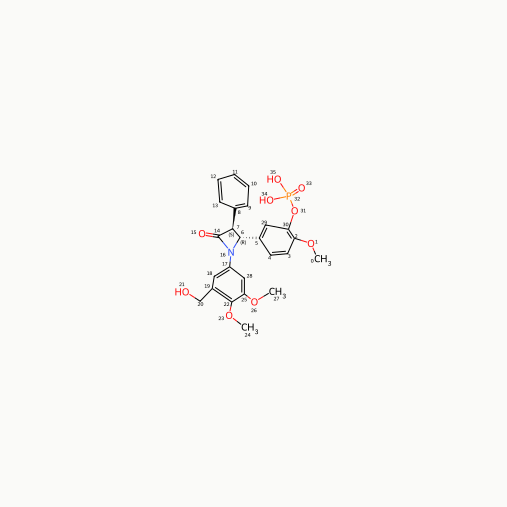 COc1ccc([C@H]2[C@H](c3ccccc3)C(=O)N2c2cc(CO)c(OC)c(OC)c2)cc1OP(=O)(O)O